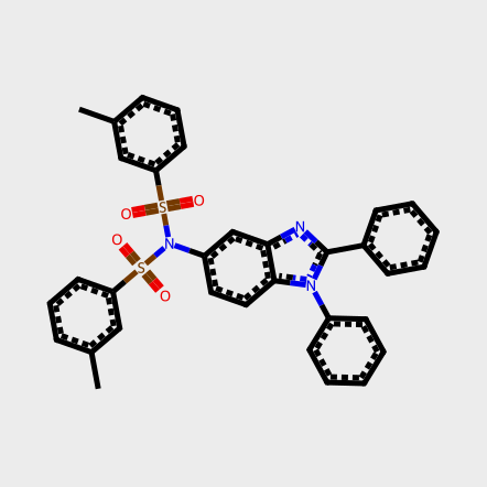 Cc1cccc(S(=O)(=O)N(c2ccc3c(c2)nc(-c2ccccc2)n3-c2ccccc2)S(=O)(=O)c2cccc(C)c2)c1